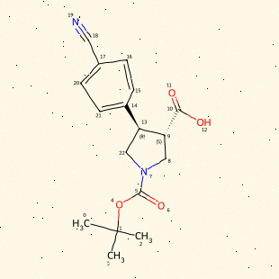 CC(C)(C)OC(=O)N1C[C@@H](C(=O)O)[C@H](c2ccc(C#N)cc2)C1